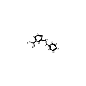 FC(F)c1cccc(SCc2ccccc2)c1